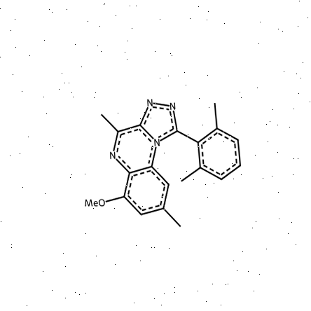 COc1cc(C)cc2c1nc(C)c1nnc(-c3c(C)cccc3C)n12